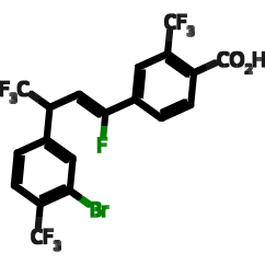 O=C(O)c1ccc(C(F)=CC(c2ccc(C(F)(F)F)c(Br)c2)C(F)(F)F)cc1C(F)(F)F